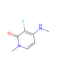 CNc1ccn(C)c(=O)c1F